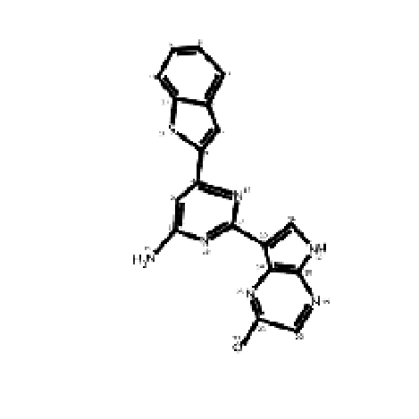 Nc1cc(-c2cc3ccccc3s2)nc(-c2c[nH]c3ncc(Cl)nc23)n1